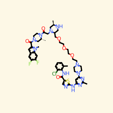 Cc1nc(Nc2ncc(C(=O)Nc3c(C)cccc3Cl)s2)cc(N2CCN(CCOCCOCCOCC3CN[C@H](C)CN3CC(=O)N3CCN(C(=O)c4cc5cc(F)c(F)cc5n4C)C[C@H]3C)CC2)n1